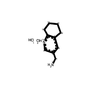 Cl.Cl.NCc1cnc2c(c1)CCCC2